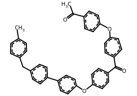 CC(=O)c1ccc(Oc2ccc(C(=O)c3ccc(Oc4ccc(-c5ccc(Cc6ccc(C)cc6)cc5)cc4)cc3)cc2)cc1